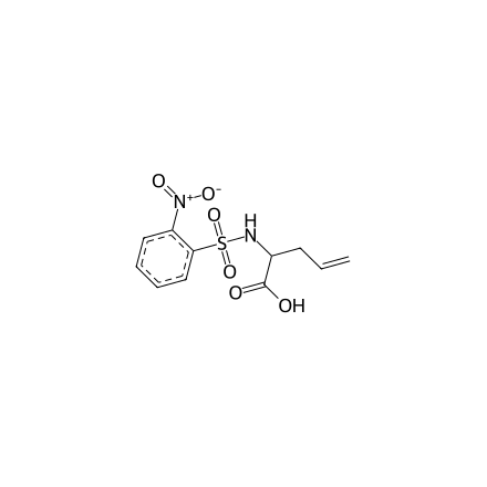 C=CCC(NS(=O)(=O)c1ccccc1[N+](=O)[O-])C(=O)O